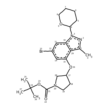 Cc1nn(C2CCCCO2)c2cc(Br)cc(OC3CCN(C(=O)OC(C)(C)C)C3)c12